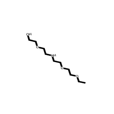 CCOCCOCCNCCOCCO